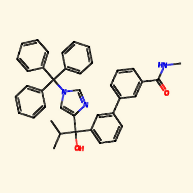 CNC(=O)c1cccc(-c2cccc(C(O)(c3cn(C(c4ccccc4)(c4ccccc4)c4ccccc4)cn3)C(C)C)c2)c1